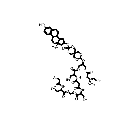 CCC1(OC2CC3C4CCc5cc(O)ccc5C4CCC3(C)C2)OCC2(COC(OC(COC(=O)CN(C)CC(C)C)COC(=O)C(CC(C)C)NC(=O)CC(=O)NC(CC(C)C)C(=O)OCOC(=O)C(CC(C)C)NC(=O)CC(C)=O)OC2)CO1